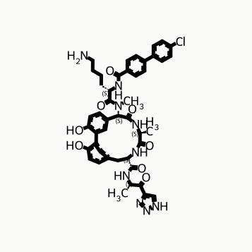 C[C@@H]1NC(=O)[C@@H](N(C)C(=O)[C@H](CCCCN)NC(=O)c2ccc(-c3ccc(Cl)cc3)cc2)c2ccc(O)c(c2)-c2cc(ccc2O)C[C@@H](C(=O)N[C@@H](C)C(=O)c2c[nH]nn2)NC1=O